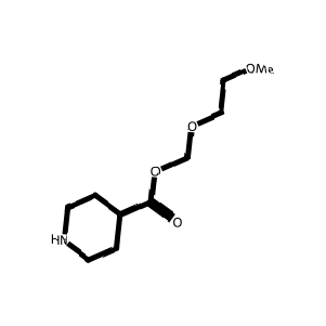 COCCOCOC(=O)C1CCNCC1